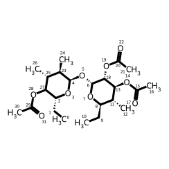 CC[C@H]1O[C@H](O[C@H]2O[C@H](CC)[C@@H](C)[C@H](OC(C)=O)[C@H]2OC(C)=O)[C@H](C)[C@@H](C)C1OC(C)=O